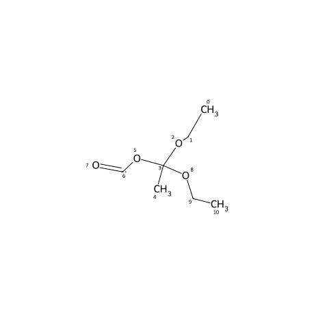 CCOC(C)(O[C]=O)OCC